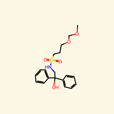 COCOCCCS(=O)(=O)NCC(O)(c1ccccc1)c1ccccc1